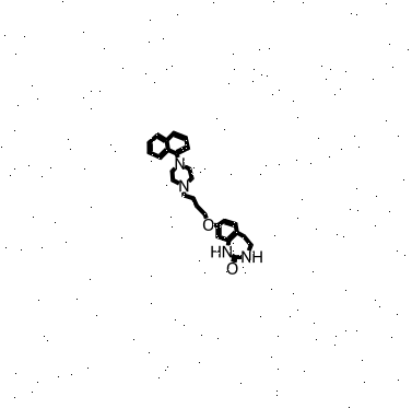 O=C1NCCc2ccc(OCCCCN3CCN(c4cccc5ccccc45)CC3)cc2N1